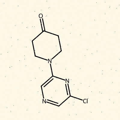 O=C1CCN(c2cncc(Cl)n2)CC1